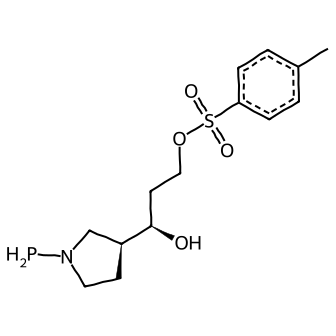 Cc1ccc(S(=O)(=O)OCC[C@@H](O)[C@H]2CCN(P)C2)cc1